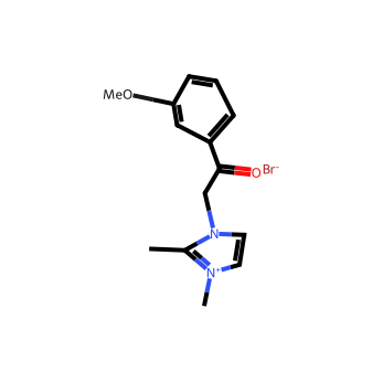 COc1cccc(C(=O)Cn2cc[n+](C)c2C)c1.[Br-]